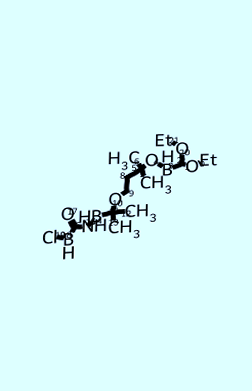 CCOC(BOC(C)(C)CCOC(C)(C)BNC(=O)BCl)OCC